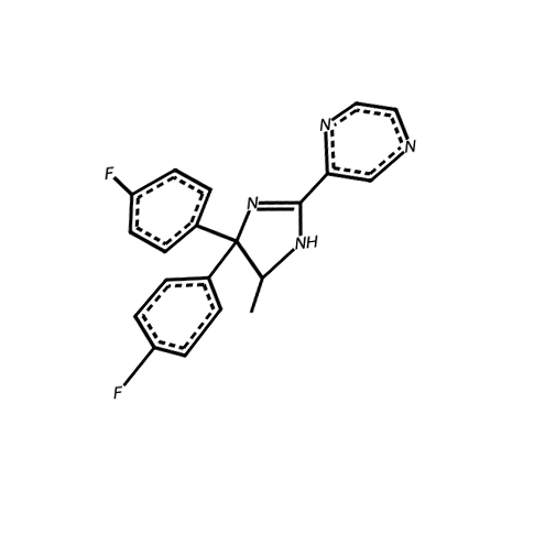 CC1NC(c2cnccn2)=NC1(c1ccc(F)cc1)c1ccc(F)cc1